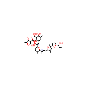 C=C1OC(O)=C(C(=O)C(OC)C2C(/C=C(\CO)C3CCC(C)C(/C(C)=C/CC4OC(C)(C5CCC(C(O)CC)O5)CC4C)O3)CC(C)C(O)C2CO)C1=O